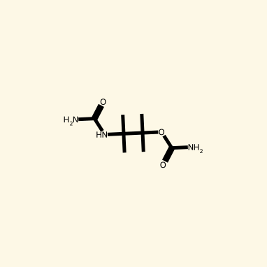 CC(C)(NC(N)=O)C(C)(C)OC(N)=O